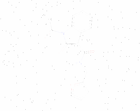 CC(=O)N1C(=O)C(C(=O)NCc2ccco2)c2ccccc21